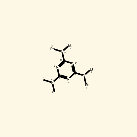 CCN(CC)c1nc(N(C)C)nc(N(CC)CC)n1